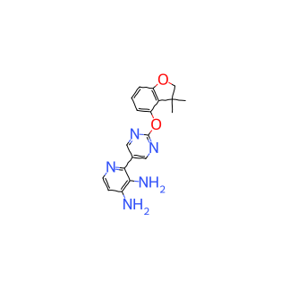 CC1(C)COc2cccc(Oc3ncc(-c4nccc(N)c4N)cn3)c21